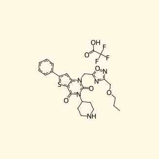 CCCOCc1noc(Cn2c(=O)n(C3CCNCC3)c(=O)c3sc(-c4ccccc4)cc32)n1.O=C(O)C(F)(F)F